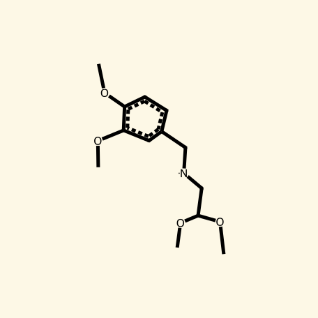 COc1ccc(C[N]CC(OC)OC)cc1OC